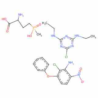 CCNc1nc(Cl)nc(NCC)n1.CP(=O)(O)CCC(N)C(=O)O.Nc1c([N+](=O)[O-])ccc(Oc2ccccc2)c1Cl